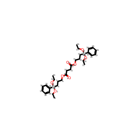 CCO[Si](CCCOC(=O)CCC(=O)OCCC[Si](OCC)(OCC)c1ccccc1)(OCC)c1ccccc1